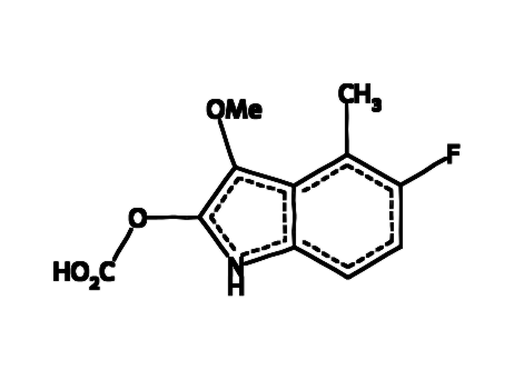 COc1c(OC(=O)O)[nH]c2ccc(F)c(C)c12